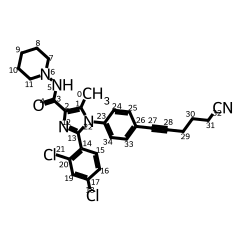 Cc1c(C(=O)NN2CCCCC2)nc(-c2ccc(Cl)cc2Cl)n1-c1ccc(C#CCCCC#N)cc1